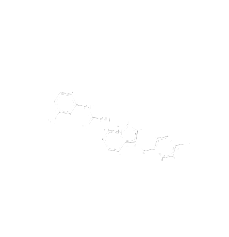 N#Cc1cccc(NC(=O)Nc2cccc3c(Cc4ccc(F)cc4)ccn23)c1